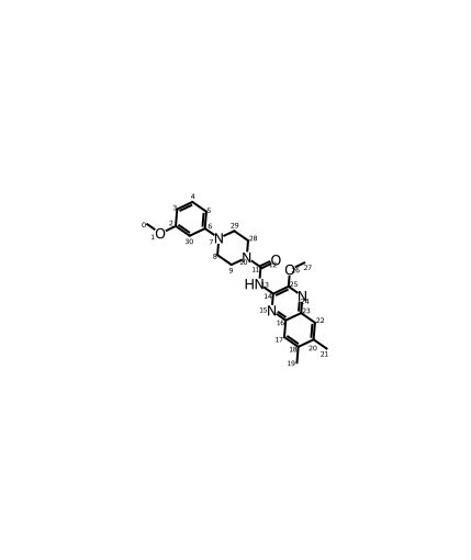 COc1cccc(N2CCN(C(=O)Nc3nc4cc(C)c(C)cc4nc3OC)CC2)c1